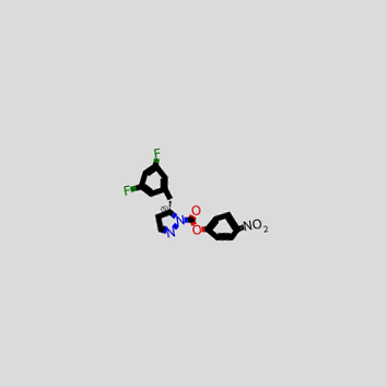 O=C(Oc1ccc([N+](=O)[O-])cc1)N1N=CC[C@@H]1Cc1cc(F)cc(F)c1